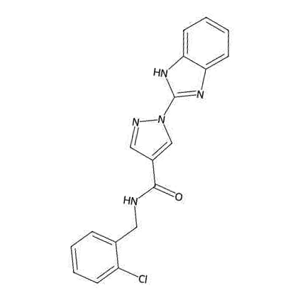 O=C(NCc1ccccc1Cl)c1cnn(-c2nc3ccccc3[nH]2)c1